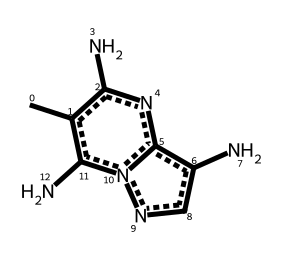 Cc1c(N)nc2c(N)cnn2c1N